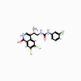 C[C@H](CNC(=O)Nc1cccc(Cl)c1)c1c[nH]c(=O)c2cc(F)c(F)cc12